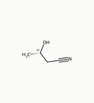 C[C@H](O)CC#N